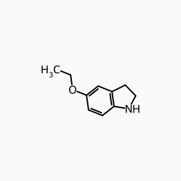 CCOc1ccc2c(c1)CCN2